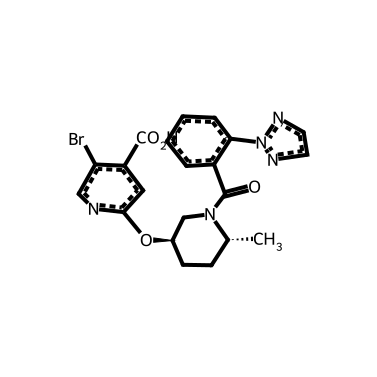 C[C@@H]1CC[C@@H](Oc2cc(C(=O)O)c(Br)cn2)CN1C(=O)c1ccccc1-n1nccn1